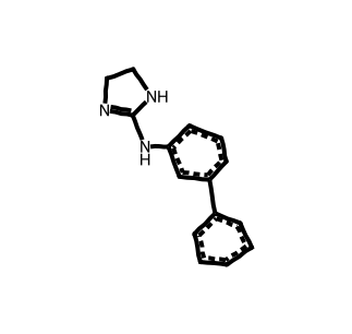 c1ccc(-c2cccc(NC3=NCCN3)c2)cc1